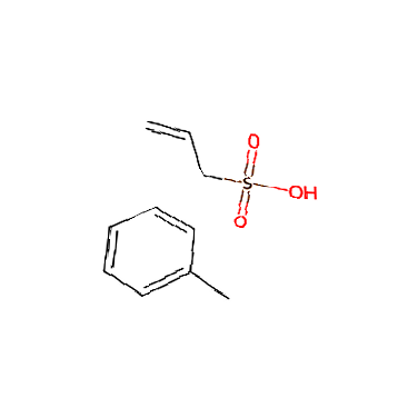 C=CCS(=O)(=O)O.Cc1ccccc1